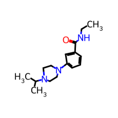 CCNC(=O)c1cccc(N2CCN(C(C)C)CC2)c1